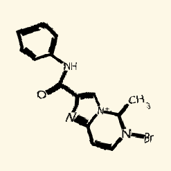 CC1N(Br)C=CC2=NC(C(=O)Nc3ccccc3)=C[N+]21